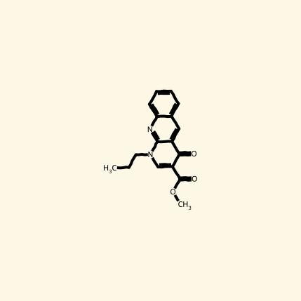 CCCn1cc(C(=O)OC)c(=O)c2cc3ccccc3nc21